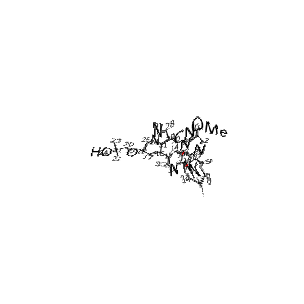 COc1cnc(CN2C3CC2CN(c2ccc(-c4cc(OCC(C)(C)O)cn5ncc(C#N)c45)cn2)C3)cn1